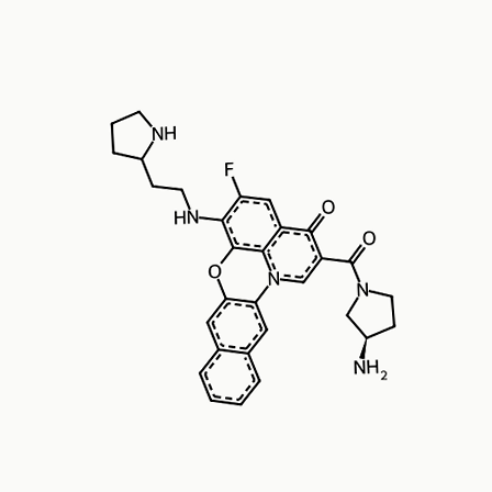 N[C@@H]1CCN(C(=O)c2cn3c4c(c(NCCC5CCCN5)c(F)cc4c2=O)Oc2cc4ccccc4cc2-3)C1